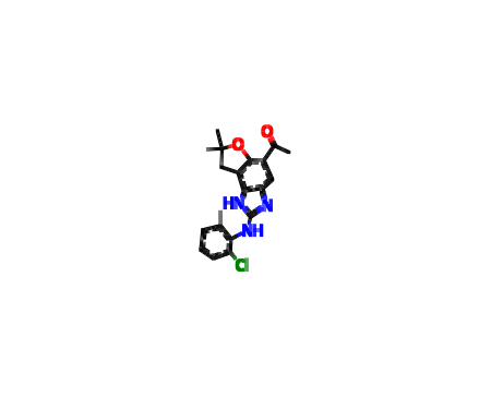 CC(=O)c1cc2nc(Nc3c(C)cccc3Cl)[nH]c2c2c1OC(C)(C)C2